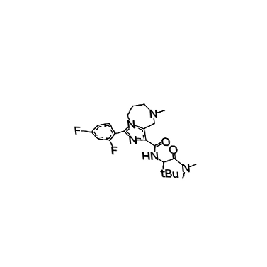 CN1CCCn2c(-c3ccc(F)cc3F)nc(C(=O)NC(C(=O)N(C)C)C(C)(C)C)c2C1